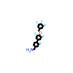 NCc1ccc(-c2cc(F)c(OCc3cc(F)c(F)c(F)c3)c(F)c2)c(F)c1